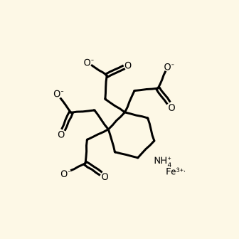 O=C([O-])CC1(CC(=O)[O-])CCCCC1(CC(=O)[O-])CC(=O)[O-].[Fe+3].[NH4+]